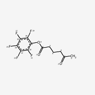 CC(=O)CCCC(=O)Oc1c(F)c(F)c(F)c(F)c1F